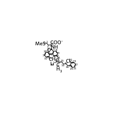 CSCC[C@H](NC(=O)c1ccc(COC(C)CCCCc2ccccc2Cl)cc1-c1ccccc1C)C(=O)[O-].[Li+]